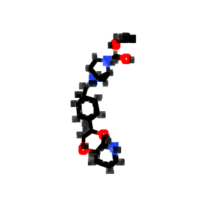 CC(C)(C)OC(=O)N1CC2CC1CN2Cc1ccc(C2COc3cccnc3O2)cc1